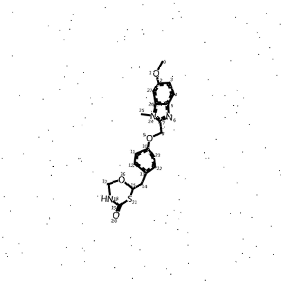 COc1ccc2nc(COc3ccc(CC4OCNC(=O)S4)cc3)n(C)c2c1